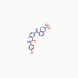 COc1ccc(NC(=O)c2cc(Nc3cccc4c3CCN(S(C)(=O)=O)C4)ccc2C)cc1